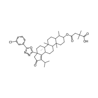 CC(C)C1=C2C3CCC4C5(C)CCC(OC(=O)CC(C)(C)C(=O)O)C(C)C5CCC4(C)[C@]3(C)CCC2(c2nnc(-c3cccc(Cl)c3)o2)CC1=O